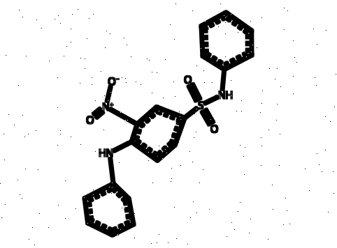 O=[N+]([O-])c1cc(S(=O)(=O)Nc2ccccc2)ccc1Nc1ccccc1